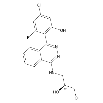 OC[C@@H](O)CNc1nnc(-c2c(O)cc(Cl)cc2F)c2ccccc12